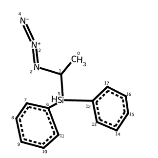 CC(N=[N+]=[N-])[SiH](c1ccccc1)c1ccccc1